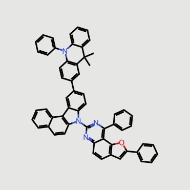 CC1(C)c2ccccc2N(c2ccccc2)c2ccc(-c3ccc4c(c3)c3c5ccccc5ccc3n4-c3nc(-c4ccccc4)c4c(ccc5cc(-c6ccccc6)oc54)n3)cc21